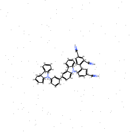 N#Cc1ccc(-c2cc(C#N)ccc2-n2c3ccccc3c3cc(-c4cccc(-n5c6ccccc6c6ccccc65)c4)ccc32)c(C#N)c1